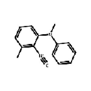 [C-]#[N+]c1c(C)cccc1N(C)c1ccccc1